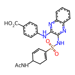 CC(=O)NC1C=CC(S(=O)(=O)Nc2nc3ccccc3nc2Nc2ccc(C(=O)O)cc2)=CC1